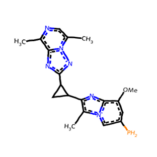 COc1cc(P)cn2c(C)c(C3CC3c3nc4c(C)ncc(C)n4n3)nc12